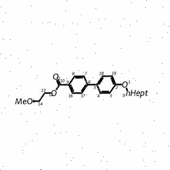 CCCCCCCOc1ccc(-c2ccc(C(=O)OCCOC)cc2)cc1